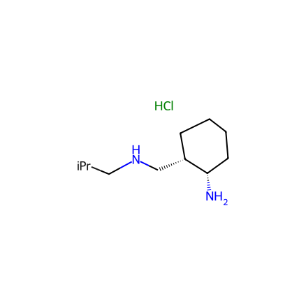 CC(C)CNC[C@@H]1CCCC[C@@H]1N.Cl